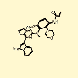 C=CC(=O)Nc1ccc(OC)c(N(C)c2nc(-c3c[nH]c4ccccc34)c3sccc3n2)c1N1CCOCC1